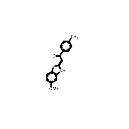 COc1ccc2c(c1)N/C(=C/C(=O)c1ccc(C)cc1)S2